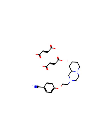 N#Cc1ccc(OCCN2CCN3CCCCC3C2)cc1.O=C(O)/C=C/C(=O)O.O=C(O)/C=C/C(=O)O